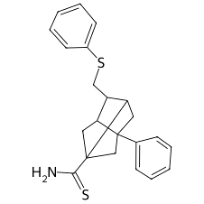 NC(=S)C12CC3C(CSc4ccccc4)C1CC3(c1ccccc1)C2